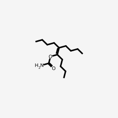 CCCCC(CCCC)=C(CCCC)OC(N)=O